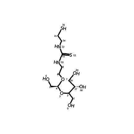 OCC(O[C@@H](CO)OCCNC(=S)NCCS)[C@@H](O)CO